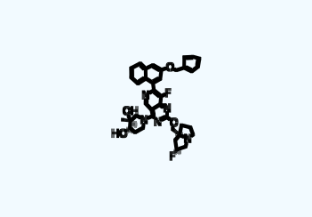 C[C@@]1(O)CN(c2nc(OC[C@@]34CCCN3C[C@H](F)C4)nc3c(F)c(-c4cc(OCc5ccccc5)cc5ccccc45)ncc23)CC[C@@H]1O